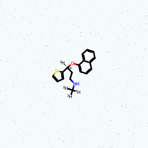 [2H]C([2H])([2H])NCC[C@]([2H])(Oc1cccc2ccccc12)c1cccs1